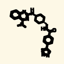 CN(C)c1nc(N[C@H]2CC[C@@H](CNC(=O)c3ccc(-c4cnns4)cc3)CC2)nc2ccccc12